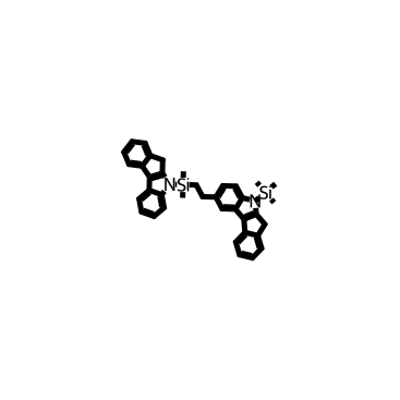 C[Si](C)(C)n1c2c(c3cc(CC[Si](C)(C)n4c5c(c6ccccc64)-c4ccccc4C5)ccc31)-c1ccccc1C2